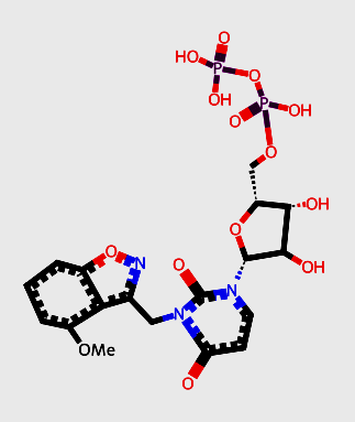 COc1cccc2onc(Cn3c(=O)ccn([C@@H]4O[C@H](COP(=O)(O)OP(=O)(O)O)[C@H](O)C4O)c3=O)c12